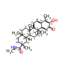 CC[C@@]12CC[C@@]3(C)C4=CC(=O)C(O)=C(C)C4=CC=C3[C@@]1(C)CC[C@@]1(C)CC[C@@](C)(C(=O)NC)C[C@H]12